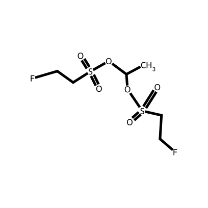 CC(OS(=O)(=O)CCF)OS(=O)(=O)CCF